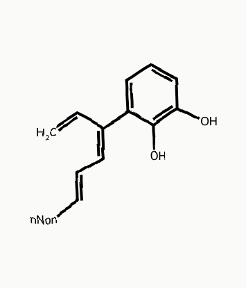 C=CC(=CC=CCCCCCCCCC)c1cccc(O)c1O